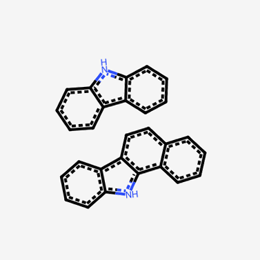 c1ccc2c(c1)[nH]c1ccccc12.c1ccc2c(c1)ccc1c3ccccc3[nH]c21